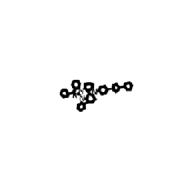 c1ccc(-c2ccc(-c3ccc(-n4c5ccccc5c5c4ccc4c6ccccc6n(-c6nc(-c7ccccc7)c7ccccc7n6)c45)cc3)cc2)cc1